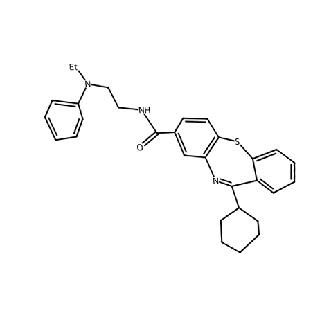 CCN(CCNC(=O)c1ccc2c(c1)N=C(C1CCCCC1)c1ccccc1S2)c1ccccc1